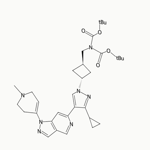 CN1CC=C(n2ncc3cnc(-c4cn([C@H]5C[C@H](CN(C(=O)OC(C)(C)C)C(=O)OC(C)(C)C)C5)nc4C4CC4)cc32)CC1